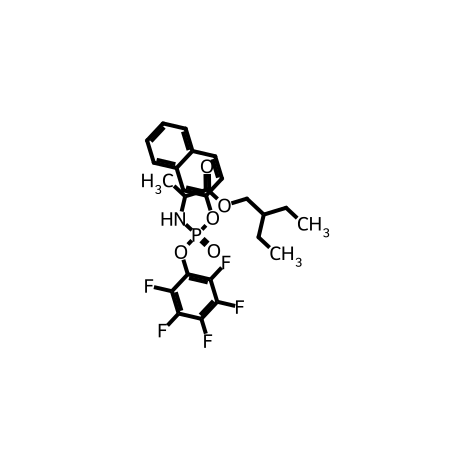 CCC(CC)COC(=O)C(C)NP(=O)(Oc1ccc2ccccc2c1)Oc1c(F)c(F)c(F)c(F)c1F